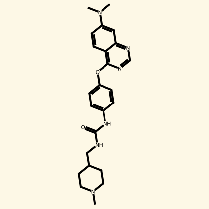 CN1CCC(CNC(=O)Nc2ccc(Oc3ncnc4cc(N(C)C)ccc34)cc2)CC1